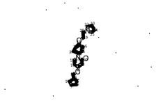 O=c1cc(OCC2CCCC2)ccn1-c1ccc(OCCN2CCCC2)cc1